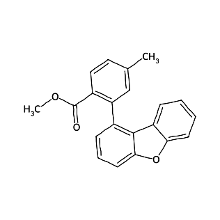 COC(=O)c1ccc(C)cc1-c1cccc2oc3ccccc3c12